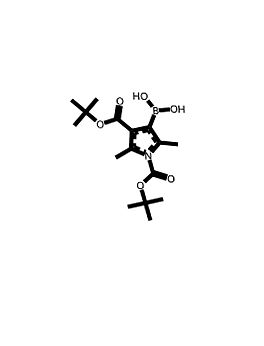 Cc1c(B(O)O)c(C(=O)OC(C)(C)C)c(C)n1C(=O)OC(C)(C)C